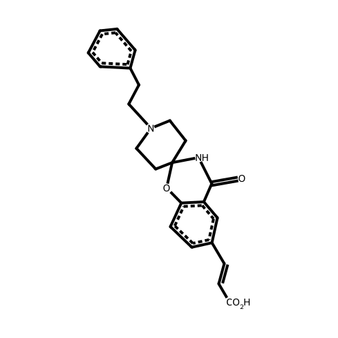 O=C(O)C=Cc1ccc2c(c1)C(=O)NC1(CCN(CCc3ccccc3)CC1)O2